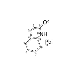 O=c1ccc2ccccc2[nH]1.[Pb]